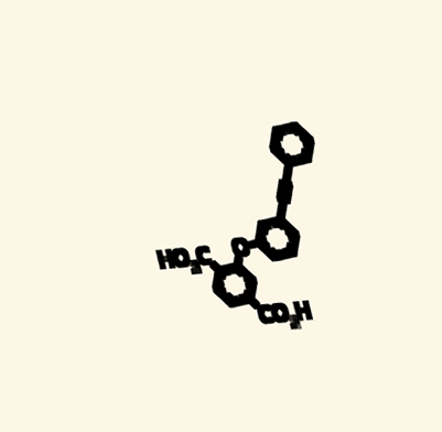 O=C(O)c1ccc(C(=O)O)c(Oc2cccc(C#Cc3ccccc3)c2)c1